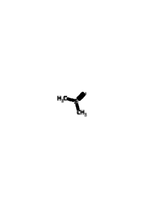 [C]=[Si](C)C